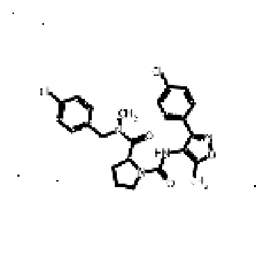 Cc1onc(-c2ccc(Cl)cc2)c1NC(=O)N1CCCC1C(=O)N(C)Cc1ccc(Cl)cc1